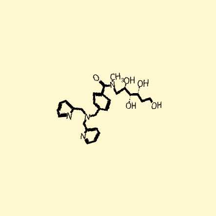 CN(C[C@H](O)[C@@H](O)[C@H](O)CCO)C(=O)c1ccc(CN(Cc2ccccn2)Cc2ccccn2)cc1